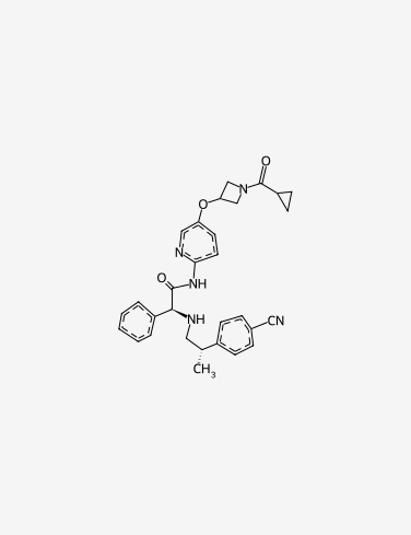 C[C@H](CN[C@H](C(=O)Nc1ccc(OC2CN(C(=O)C3CC3)C2)cn1)c1ccccc1)c1ccc(C#N)cc1